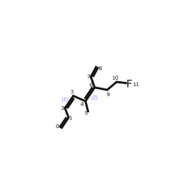 C=C/C=C\C(C)=C(/C=C)CCF